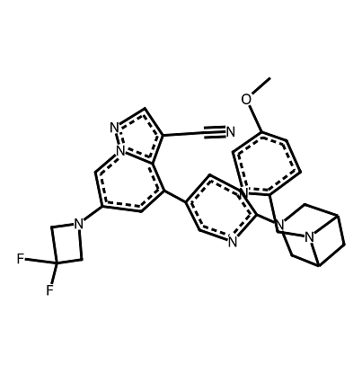 COc1ccc(CN2C3CC2CN(c2ccc(-c4cc(N5CC(F)(F)C5)cn5ncc(C#N)c45)cn2)C3)nc1